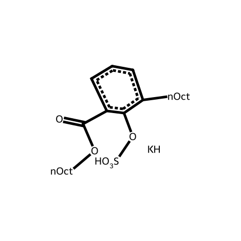 CCCCCCCCOC(=O)c1cccc(CCCCCCCC)c1OS(=O)(=O)O.[KH]